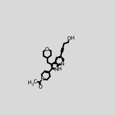 CC(=O)N1CC=C(c2[nH]c3ncc(C#CCCO)cc3c2CC2CCOCC2)CC1